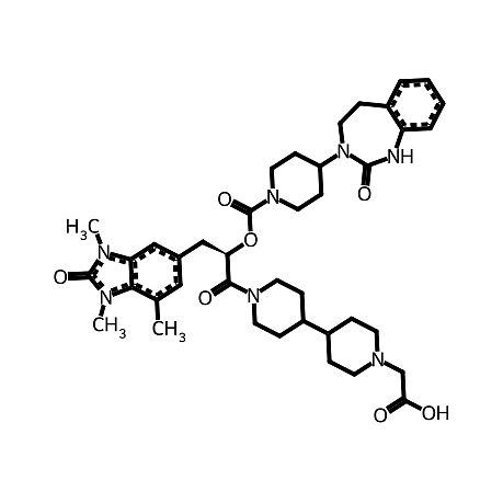 Cc1cc(C[C@@H](OC(=O)N2CCC(N3CCc4ccccc4NC3=O)CC2)C(=O)N2CCC(C3CCN(CC(=O)O)CC3)CC2)cc2c1n(C)c(=O)n2C